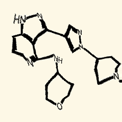 CN1CCC(n2cc(-c3n[nH]c4ccnc(NC5CCOCC5)c34)cn2)CC1